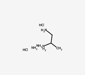 CC(N)CN.Cl.Cl.N.N